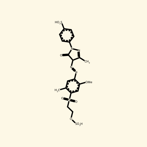 COc1cc(S(=O)(=O)CCOS(=O)(=O)O)c(C)cc1N=NC1C(=O)N(c2ccc(S(=O)(=O)O)cc2)N=C1C